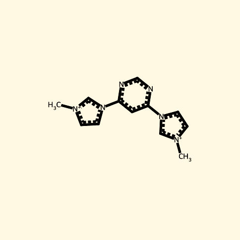 C[n+]1ccn(-c2cc(-n3cc[n+](C)c3)ncn2)c1